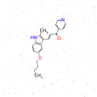 CCCCOc1ccc2[nH]c(C)c(/C=C/C(=O)c3ccncc3)c2c1